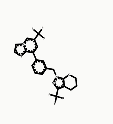 FC(F)(F)c1cc(-c2cccc(Cn3nc(C(F)(F)F)c4c3OCCC4)c2)c2nccn2c1